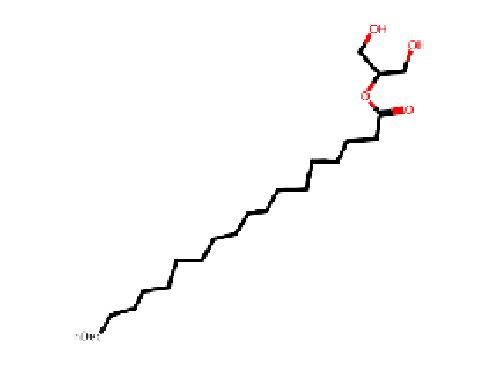 CCCCCCCCCCCCCCCCCCCCCCCCCCC(=O)OC(CO)CO